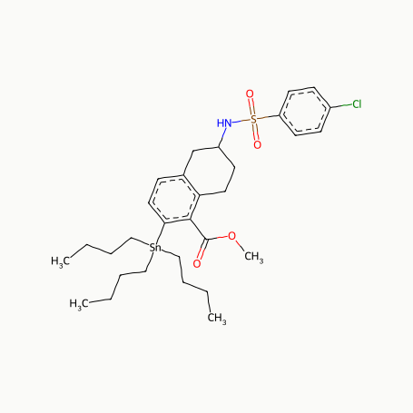 CCC[CH2][Sn]([CH2]CCC)([CH2]CCC)[c]1ccc2c(c1C(=O)OC)CCC(NS(=O)(=O)c1ccc(Cl)cc1)C2